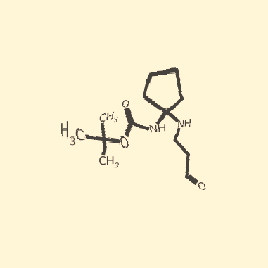 CC(C)(C)OC(=O)NC1(NCCC=O)CCCC1